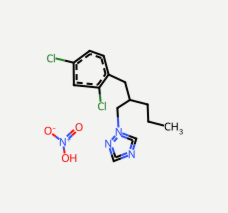 CCCC(Cc1ccc(Cl)cc1Cl)Cn1cncn1.O=[N+]([O-])O